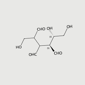 O=CC(CO)C(C=O)[C@H](C=O)[C@H](O)CO